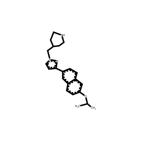 CC(C)Oc1ccc2cc(-c3ccn(CC4CCNCC4)n3)ccc2c1